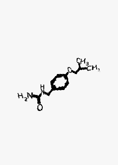 CC(C)COc1ccc(CNC(N)=O)cc1